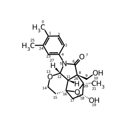 Cc1ccc(N2C(=O)[C@@]3(CO)[C@H]4[C@@H]2OCC[C@]42C[C@@H](O)[C@@]3(C)O2)cc1C